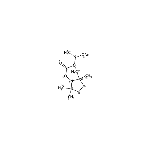 CC(=O)OC(C)OC(=O)ON1C(C)(C)CCC1(C)C